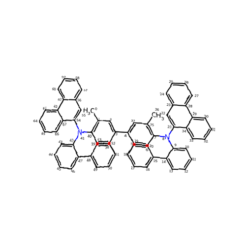 Cc1cc(-c2ccc(N(c3ccccc3-c3ccccc3)c3cc4ccccc4c4ccccc34)c(C)c2)ccc1N(c1ccccc1-c1ccccc1)c1cc2ccccc2c2ccccc12